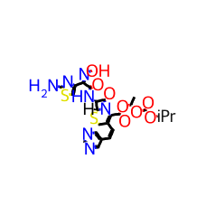 CC(C)OC(=O)OC(C)OC(=O)C1=C(/C=C\c2cncnc2)CS[C@@H]2[C@H](NC(=O)/C(=N\O)c3csc(N)n3)C(=O)N12